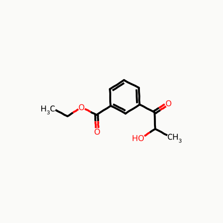 CCOC(=O)c1cccc(C(=O)C(C)O)c1